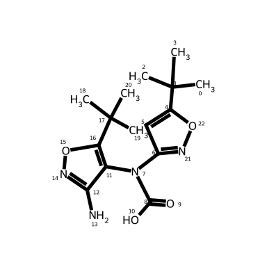 CC(C)(C)c1cc(N(C(=O)O)c2c(N)noc2C(C)(C)C)no1